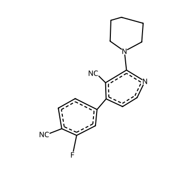 N#Cc1ccc(-c2ccnc(N3CCCCC3)c2C#N)cc1F